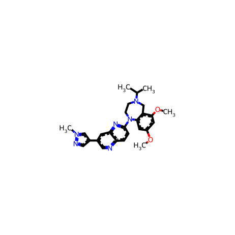 COc1cc(OC)c2c(c1)N(c1ccc3ncc(-c4cnn(C)c4)cc3n1)CCN(C(C)C)C2